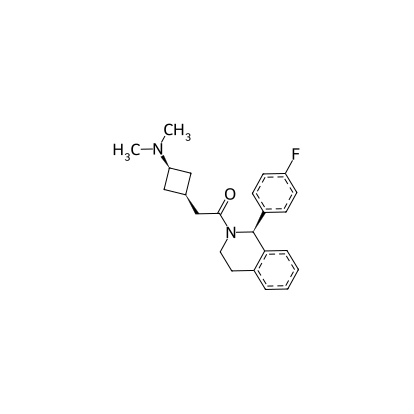 CN(C)[C@H]1C[C@@H](CC(=O)N2CCc3ccccc3[C@@H]2c2ccc(F)cc2)C1